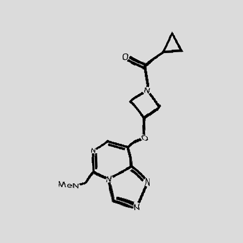 CNc1ncc(OC2CN(C(=O)C3CC3)C2)c2nncn12